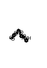 COC(=O)c1ccc(OC(F)[C@@H]2CCCN2C(=O)Cc2ccc3nc(Nc4ccccc4C)oc3c2)cc1